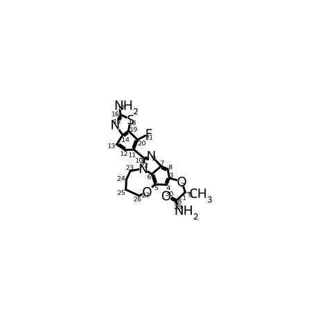 C[C@@H](Oc1cc2c3c(c1)nc(-c1ccc4nc(N)sc4c1F)n3CCCCO2)C(N)=O